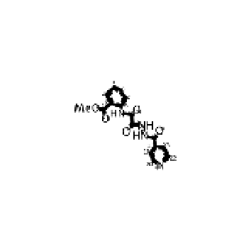 COC(=O)c1ccccc1NC(=O)C(=O)NNC(=O)c1ccncc1